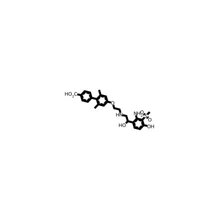 Cc1cc(OCCNCC(O)c2ccc(O)c(S(C)(=O)=O)c2N)cc(C)c1-c1ccc(C(=O)O)cc1